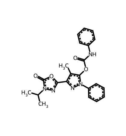 Cc1c(-c2nn(C(C)C)c(=O)o2)nn(-c2ccccc2)c1OC(=O)Nc1ccccc1